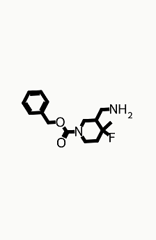 CC1(F)CCN(C(=O)OCc2ccccc2)CC1CN